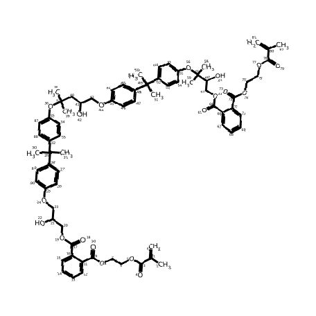 C=C(C)C(=O)OCCOC(=O)c1ccccc1C(=O)OCC(O)COc1ccc(C(C)(C)c2ccc(OC(C)(C)CC(O)COc3ccc(C(C)(C)c4ccc(OC(C)(C)C(O)COC(=O)c5ccccc5C(=O)OCCOC(=O)C(=C)C)cc4)cc3)cc2)cc1